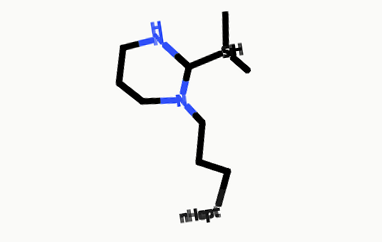 CCCCCCCCCCN1CCCNC1[SiH](C)C